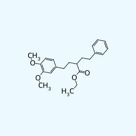 CCOC(=O)C(CCc1ccccc1)CCc1ccc(OC)c(OC)c1